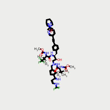 COC(=O)NC(C(=O)N[C@@H](Cc1ccc(C#Cc2ccc(N3CC4CCC(C3)N4C3COC3)nc2)cc1)[C@@H](O)CN(Cc1ccc(C(=N)/C=C\NC(F)F)cc1)NC(=O)[C@@H](NC(=O)OC)C(C)(C)C)C(C)(C)C(F)(F)F